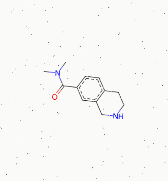 CN(C)C(=O)c1ccc2c(c1)CNCC2